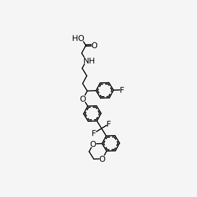 O=C(O)CNCCCC(Oc1ccc(C(F)(F)c2cccc3c2OCCO3)cc1)c1ccc(F)cc1